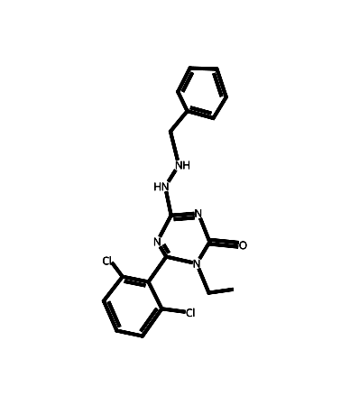 CCn1c(-c2c(Cl)cccc2Cl)nc(NNCc2ccccc2)nc1=O